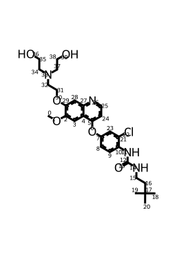 COc1cc2c(Oc3ccc(NC(=O)NCCC(C)(C)C)c(Cl)c3)ccnc2cc1OCCN(CCO)CCO